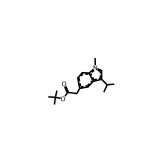 CC(C)c1cn(C)c2ccc(CC(=O)OC(C)(C)C)cc12